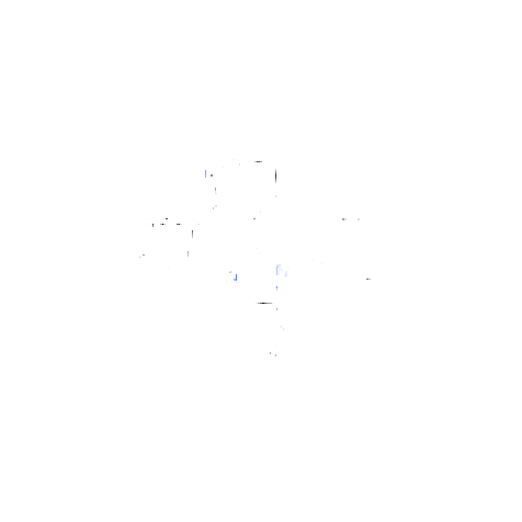 c1ccc(N2B3c4cccnc4-c4ccoc4N3c3ccccc32)cc1